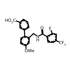 COc1ccc(-c2cccc(C(=O)O)c2)c(CNC(=O)c2ccc(C(F)(F)F)cc2F)c1